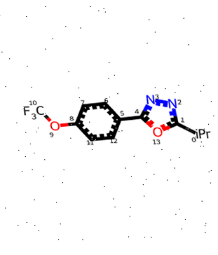 CC(C)c1nnc(-c2ccc(OC(F)(F)F)cc2)o1